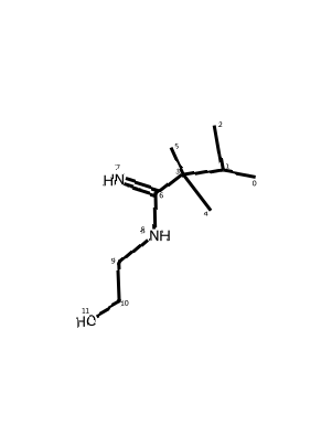 CC(C)C(C)(C)C(=N)NCCO